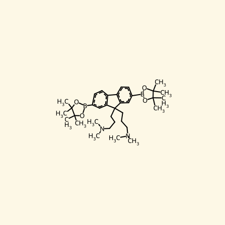 CN(C)CCCC1(CCCN(C)C)c2cc(B3OC(C)(C)C(C)(C)O3)ccc2-c2ccc(B3OC(C)(C)C(C)(C)O3)cc21